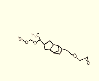 CCOCOC(C)C1CC2C3CC(CCOCC4CO4)C(C3)C2C1